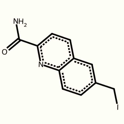 NC(=O)c1ccc2cc(CI)ccc2n1